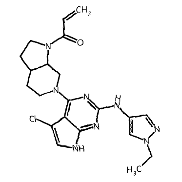 C=CC(=O)N1CCC2CCN(c3nc(Nc4cnn(CC)c4)nc4[nH]cc(Cl)c34)CC21